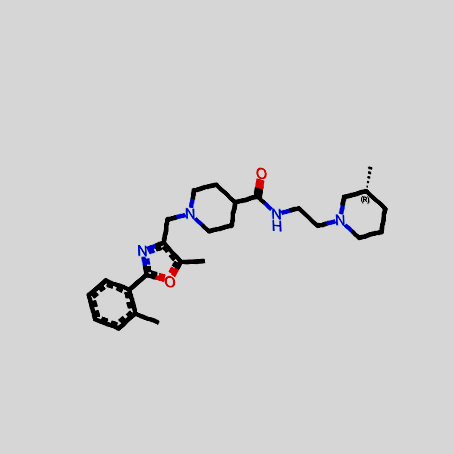 Cc1ccccc1-c1nc(CN2CCC(C(=O)NCCN3CCC[C@@H](C)C3)CC2)c(C)o1